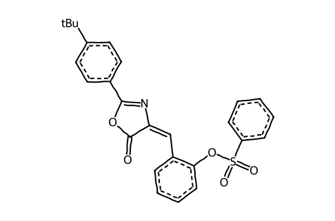 CC(C)(C)c1ccc(C2=NC(=Cc3ccccc3OS(=O)(=O)c3ccccc3)C(=O)O2)cc1